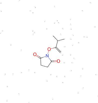 C=C(ON1C(=O)CCC1=O)C(C)C